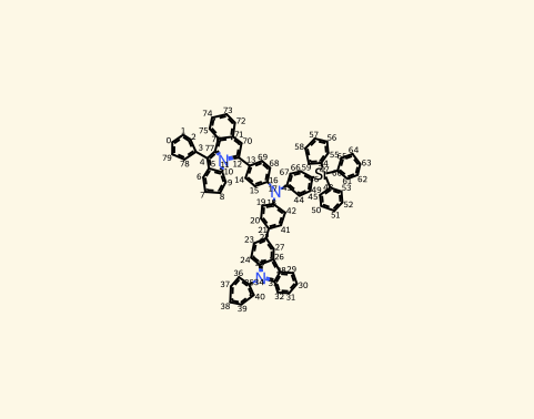 c1ccc(-c2c3ccccc3n3c(-c4ccc(N(c5ccc(-c6ccc7c(c6)c6ccccc6n7-c6ccccc6)cc5)c5ccc([Si](c6ccccc6)(c6ccccc6)c6ccccc6)cc5)cc4)cc4ccccc4c23)cc1